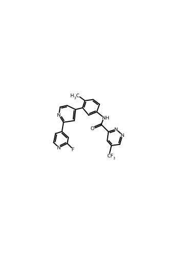 Cc1ccc(NC(=O)c2cc(C(F)(F)F)cnn2)cc1-c1ccnc(-c2ccnc(F)c2)c1